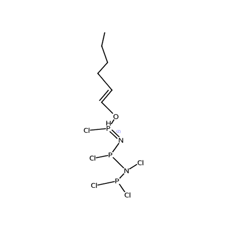 CCCCC=CO/[PH](Cl)=N/P(Cl)N(Cl)P(Cl)Cl